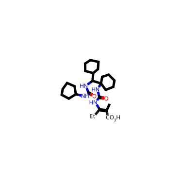 CC/C(NC(=O)NC1(C(NC(=O)NC2CCCCC2)C2CCCCC2)CCCCC1)=C(/C)C(=O)O